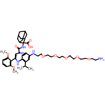 COc1cccc(OC)c1/C(=C/C(=N)C(=O)NC1(C(=O)O)C2CC3CC(C2)CC1C3)Nc1ccc(NCCOCCOCCOCCOCCOCCN)cc1C(C)C